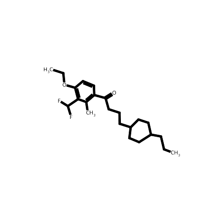 CCCC1CCC(CCCC(=O)c2ccc(OCC)c(C(F)F)c2C)CC1